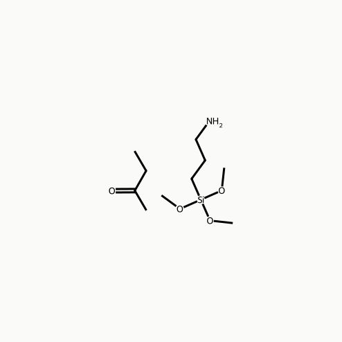 CCC(C)=O.CO[Si](CCCN)(OC)OC